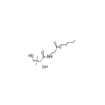 CCCCCOC(=O)CCNC(=O)[C@H](O)C(C)(C)CO